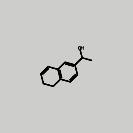 CC(O)c1ccc2c(c1)C=CCC2